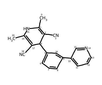 CC1=C(C#N)C(c2cccc(-c3cccnc3)c2)C(C#N)=C(C)N1